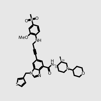 COc1cc(S(C)(=O)=O)ccc1NCC#Cc1cc(C(=O)N[C@H]2CCN(C3CCOCC3)C[C@@H]2C)c2ncn(Cc3ccsc3)c2c1